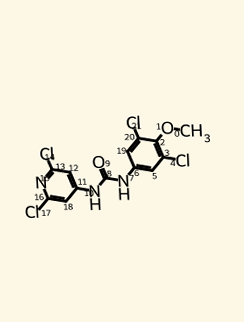 COc1c(Cl)cc(NC(=O)Nc2cc(Cl)nc(Cl)c2)cc1Cl